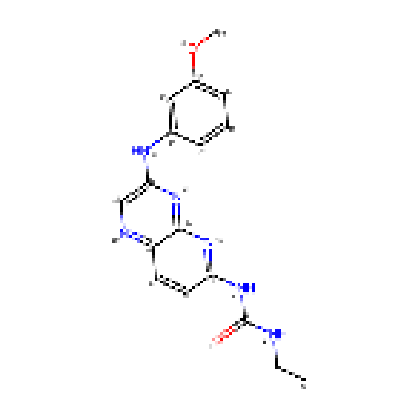 CCNC(=O)Nc1ccc2ncc(Nc3cccc(OC)c3)nc2n1